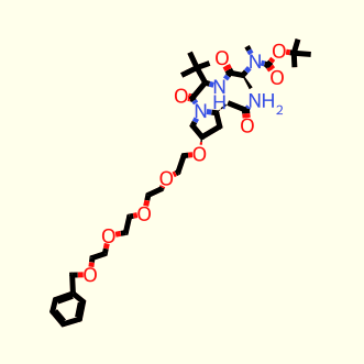 C[C@@H](C(=O)NC(C(=O)N1C[C@@H](OCCOCCOCCOCCOCc2ccccc2)C[C@H]1CC(N)=O)C(C)(C)C)N(C)C(=O)OC(C)(C)C